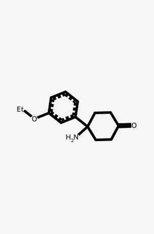 CCOc1cccc(C2(N)CCC(=O)CC2)c1